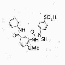 COc1ccc(C(=O)Nc2ccccc2)cc1NC(=O)N(S)c1ccc(S(=O)(=O)O)cc1